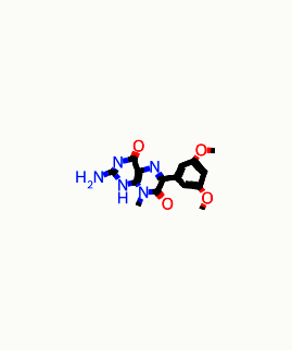 COc1cc(OC)cc(-c2nc3c(=O)nc(N)[nH]c3n(C)c2=O)c1